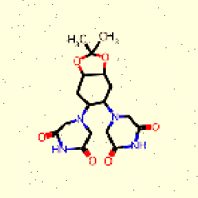 CC1(C)OC2CC(N3CC(=O)NC(=O)C3)C(N3CC(=O)NC(=O)C3)CC2O1